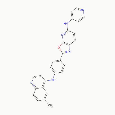 Cc1ccc2nccc(Nc3ccc(-c4nc5ccc(Nc6ccncc6)nc5o4)cc3)c2c1